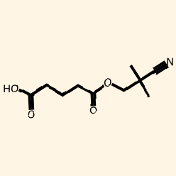 CC(C)(C#N)COC(=O)CCCC(=O)O